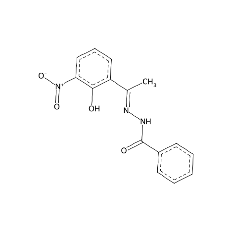 C/C(=N\NC(=O)c1ccccc1)c1cccc([N+](=O)[O-])c1O